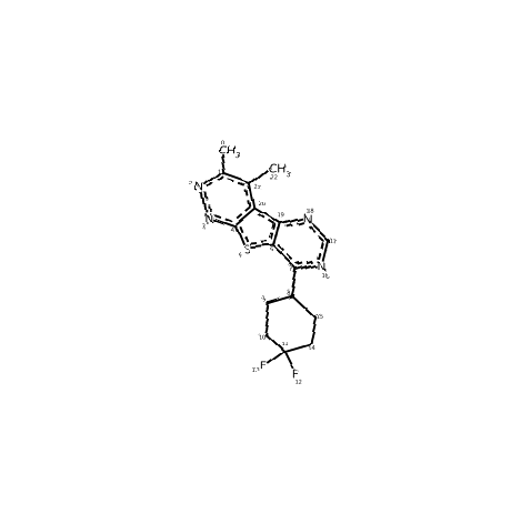 Cc1nnc2sc3c(C4CCC(F)(F)CC4)ncnc3c2c1C